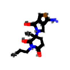 CCCN1C(=O)CCC(C)(N2Cc3c(csc3N)C2=O)C1=O